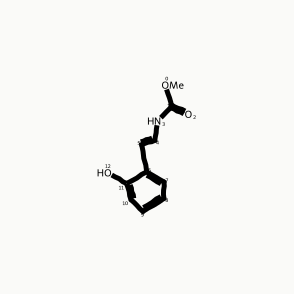 COC(=O)NC=Cc1ccccc1O